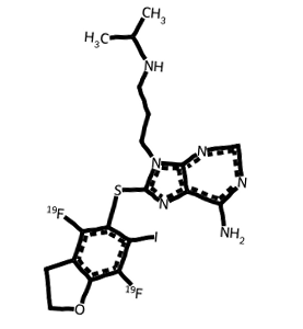 CC(C)NCCCn1c(Sc2c([19F])c3c(c([19F])c2I)OCC3)nc2c(N)ncnc21